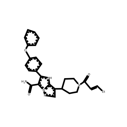 CCC=CC(=O)N1CCC(c2cnn3c(C(N)=O)c(-c4ccc(Oc5ccccc5)cc4)[nH]c23)CC1